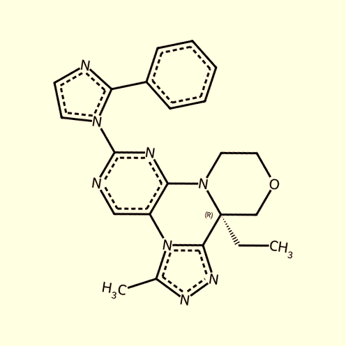 CC[C@@]12COCCN1c1nc(-n3ccnc3-c3ccccc3)ncc1-n1c(C)nnc12